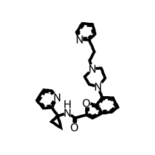 O=C(NC1(c2ccccn2)CC1)c1cc2cccc(N3CCN(CCc4ccccn4)CC3)c2o1